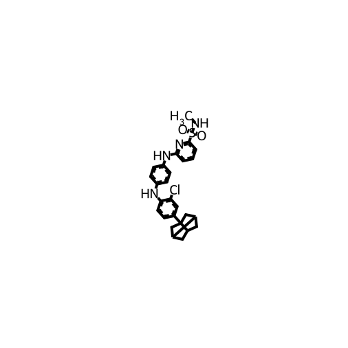 CNS(=O)(=O)c1cccc(Nc2ccc(Nc3ccc(C45CC6CC4CC6C5)cc3Cl)cc2)n1